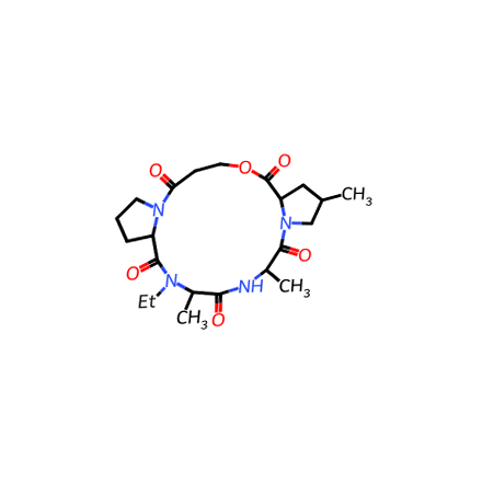 CCN1C(=O)C2CCCN2C(=O)CCOC(=O)C2CC(C)CN2C(=O)C(C)NC(=O)C1C